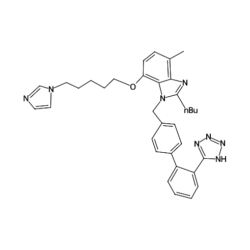 CCCCc1nc2c(C)ccc(OCCCCCn3ccnc3)c2n1Cc1ccc(-c2ccccc2-c2nnn[nH]2)cc1